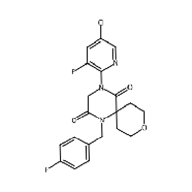 O=C1CN(c2ncc(Cl)cc2F)C(=O)C2(CCOCC2)N1Cc1ccc(F)cc1